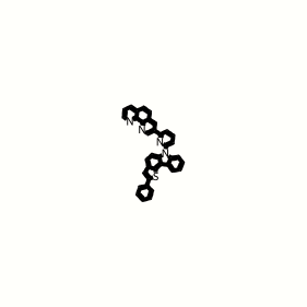 c1ccc(-c2cc3ccc4c(c5ccccc5n4-c4cccc(-c5cnc6c(ccc7cccnc76)c5)n4)c3s2)cc1